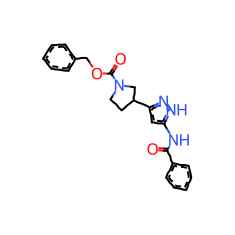 O=C(Nc1cc(C2CCN(C(=O)OCc3ccccc3)C2)n[nH]1)c1ccccc1